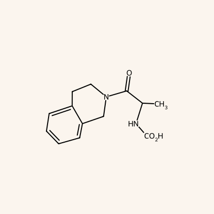 CC(NC(=O)O)C(=O)N1CCc2ccccc2C1